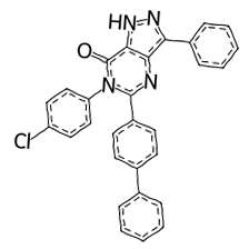 O=c1c2[nH]nc(-c3ccccc3)c2nc(-c2ccc(-c3ccccc3)cc2)n1-c1ccc(Cl)cc1